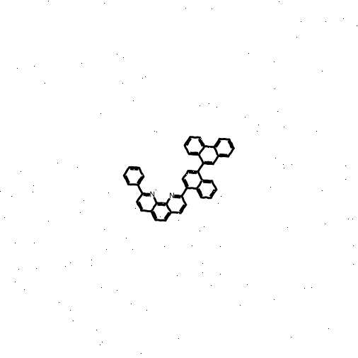 c1ccc(-c2ccc3ccc4ccc(-c5ccc(-c6cc7ccccc7c7ccccc67)c6ccccc56)nc4c3n2)cc1